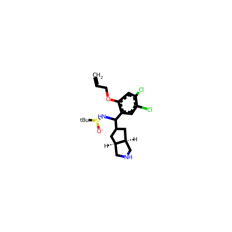 C=CCOc1cc(Cl)c(Cl)cc1C(N[S+]([O-])C(C)(C)C)C1C[C@H]2CNC[C@H]2C1